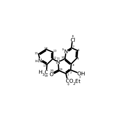 CCOC(=O)c1c(O)c2ccc(Cl)nc2n(-c2cccnc2C)c1=O